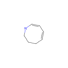 C1=C\CCC[N]\C=C/1